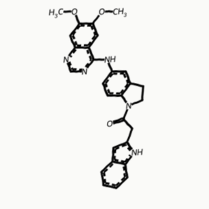 COc1cc2ncnc(Nc3ccc4c(c3)CCN4C(=O)Cc3cc4ccccc4[nH]3)c2cc1OC